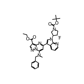 CCOC(=O)c1cnn2c(N(C)Cc3ccccc3)cc(-c3cn([C@H]4CN(C(=O)OC(C)(C)C)C[C@@H]4F)c4ncccc34)nc12